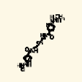 CNNc1ccc(C(=O)NCCSSCCNC(=O)c2ccc(NNCl)nc2)cn1